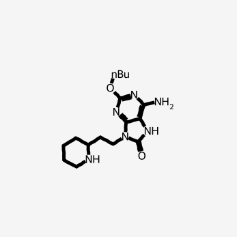 CCCCOc1nc(N)c2[nH]c(=O)n(CCC3CCCCN3)c2n1